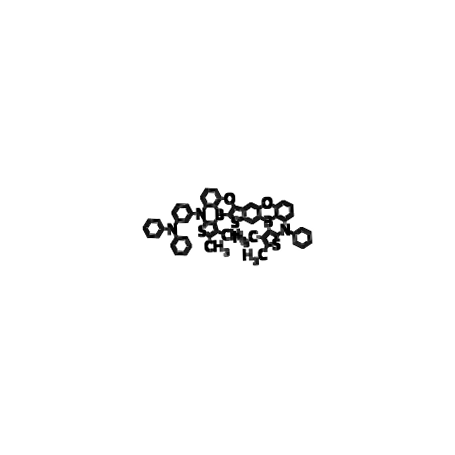 Cc1sc2c(c1C)B1c3cc4sc5c(c4cc3Oc3cccc(c31)N2c1ccccc1)Oc1cccc2c1B5c1c(sc(C)c1C)N2c1cccc(N(c2ccccc2)c2ccccc2)c1